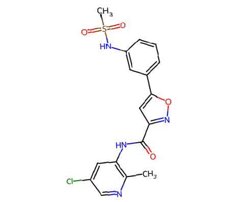 Cc1ncc(Cl)cc1NC(=O)c1cc(-c2cccc(NS(C)(=O)=O)c2)on1